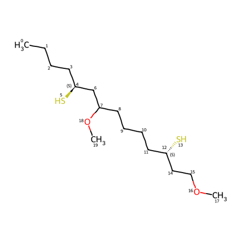 CCCC[C@H](S)CC(CCCC[C@H](S)CCOC)OC